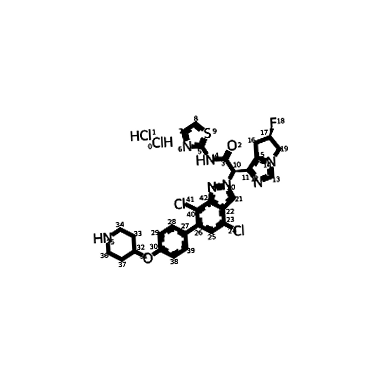 Cl.Cl.O=C(Nc1nccs1)[C@@H](c1ncn2c1C[C@@H](F)C2)n1cc2c(Cl)cc(-c3ccc(OC4CCNCC4)cc3)c(Cl)c2n1